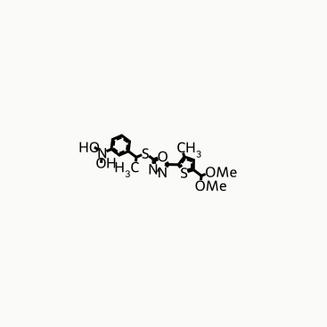 COC(OC)c1cc(C)c(-c2nnc(SC(C)c3cccc(N(O)O)c3)o2)s1